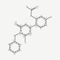 CC(=O)Cc1cc(C)ccc1-c1cc(=O)n(Cc2ccccc2)c(C)n1